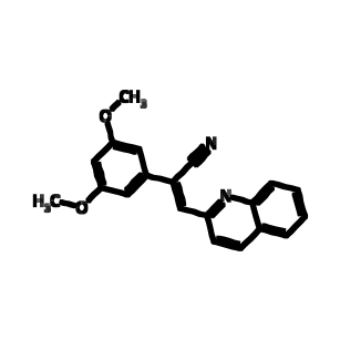 COc1cc(OC)cc(C(C#N)=Cc2ccc3ccccc3n2)c1